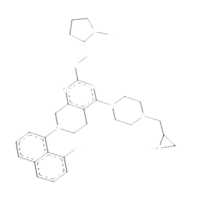 Cc1cccc2cccc(N3CCc4c(nc(OC[C@@H]5CCCN5C)nc4N4CCN(CC5CN5)CC4)C3)c12